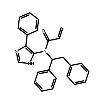 C=CC(=O)N(c1[nH]cnc1-c1ccccc1)C(Cc1ccccc1)c1ccccc1